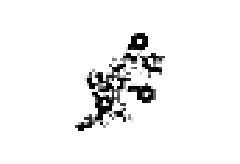 C#CCNC(=O)c1cc(C[N+]2(CC(=O)N[C@@H](CCc3ccccc3)C(=O)N[C@@H](C)C(=O)N[C@@H](Cc3ccccc3)C(=O)N[C@@H](CC(C)C)C(=O)[C@@]3(C)CO3)CCOCC2)ccc1OC(=O)C(C)(C)C